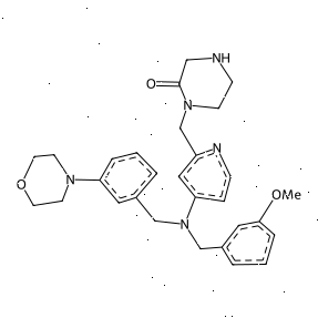 COc1cccc(CN(Cc2cccc(N3CCOCC3)c2)c2ccnc(CN3CCNCC3=O)c2)c1